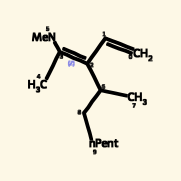 C=C/C(=C(/C)NC)C(C)CCCCCC